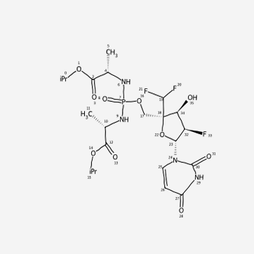 CC(C)OC(=O)[C@H](C)NP(=O)(N[C@@H](C)C(=O)OC(C)C)OC[C@@]1(C(F)F)O[C@@H](n2ccc(=O)[nH]c2=O)[C@H](F)[C@@H]1O